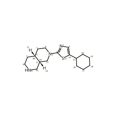 c1nc(N2CC[C@H]3CCNC[C@H]3C2)sc1C1CCCCC1